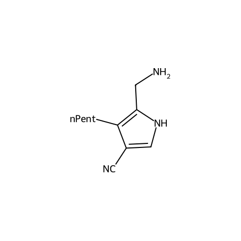 CCCCCc1c(C#N)c[nH]c1CN